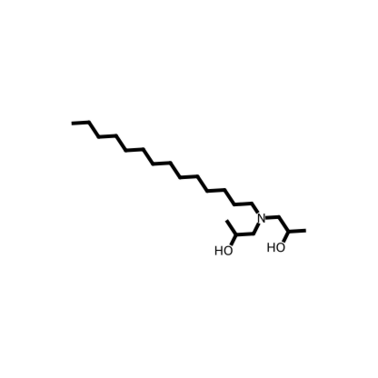 CCCCCCCCCCCCCCN(CC(C)O)CC(C)O